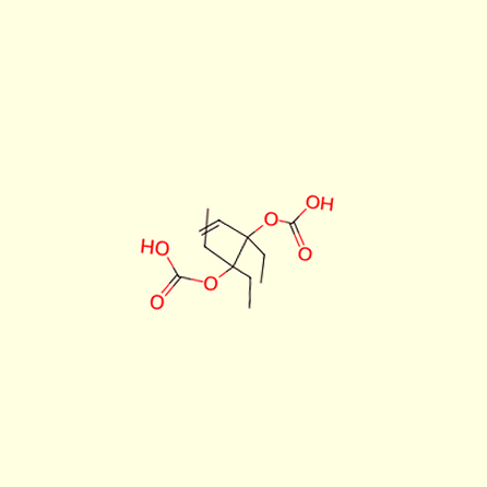 C=CC(CC)(OC(=O)O)C(CC)(CC)OC(=O)O